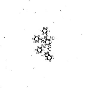 OC[C@H]1O[C@@H](OCCc2c[nH]c3ccccc23)[C@H](OCc2ccccc2)[C@@H](OCc2ccccc2)[C@@H]1OCc1ccccc1